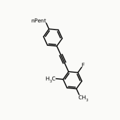 CCCCCc1ccc(C#Cc2c(C)cc(C)cc2F)cc1